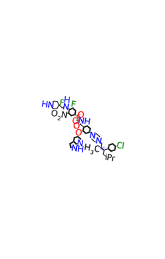 C/C(CN1CCN(c2ccc(C(=O)NS(=O)(=O)c3cc(F)c(NCC4(F)CCNCC4)c([N+](=O)[O-])c3)c(Oc3cnc4[nH]ccc4c3)c2)CC1)=C(\CC(C)C)c1ccc(Cl)cc1